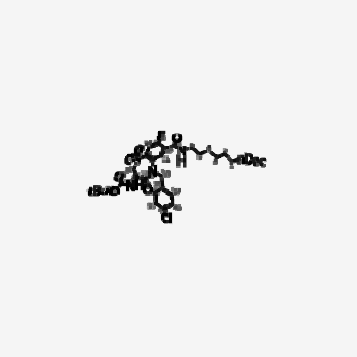 CCCCCCCCCCCCCCCCNC(=O)c1cc2c(cc1F)S(=O)(=O)C[C@H](NC(=O)OC(C)(C)C)C(=O)N2Cc1ccc(Cl)cc1